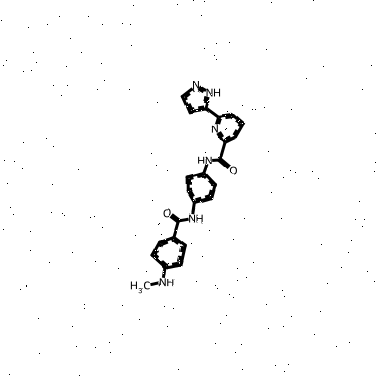 CNc1ccc(C(=O)Nc2ccc(NC(=O)c3cccc(-c4ccn[nH]4)n3)cc2)cc1